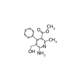 COC(=O)c1c(C)nc(N)c(CO)c1-c1ccccc1